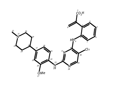 C=C(C(=O)O)c1ccccc1Nc1nc(Nc2ccc(C3CCN(C)CC3)cc2OC)ncc1Cl